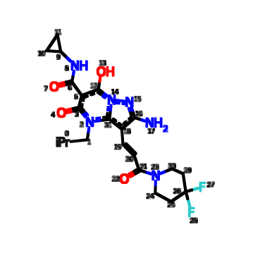 CC(C)Cn1c(=O)c(C(=O)NC2CC2)c(O)n2nc(N)c(/C=C/C(=O)N3CCC(F)(F)CC3)c12